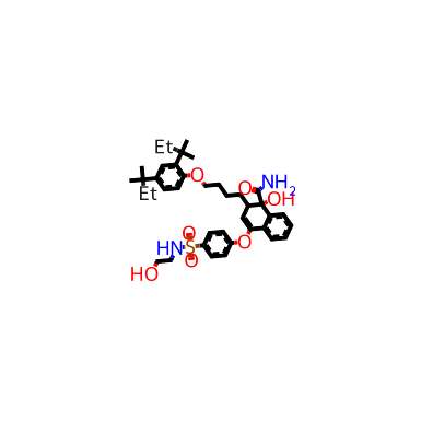 CCC(C)(C)c1ccc(OCCCCC2C=C(Oc3ccc(S(=O)(=O)NCCO)cc3)c3ccccc3C2(O)C(N)=O)c(C(C)(C)CC)c1